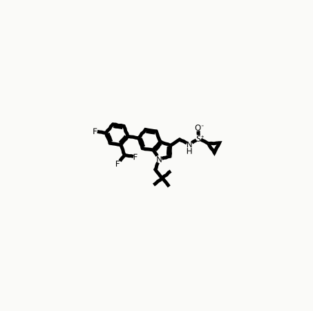 CC(C)(C)Cn1cc(CN[S+]([O-])C2CC2)c2ccc(-c3ccc(F)cc3C(F)F)cc21